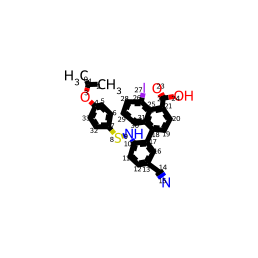 CC(C)Oc1ccc(SNc2ccc(C#N)cc2-c2ccc(C(=O)O)c3c(I)cccc23)cc1